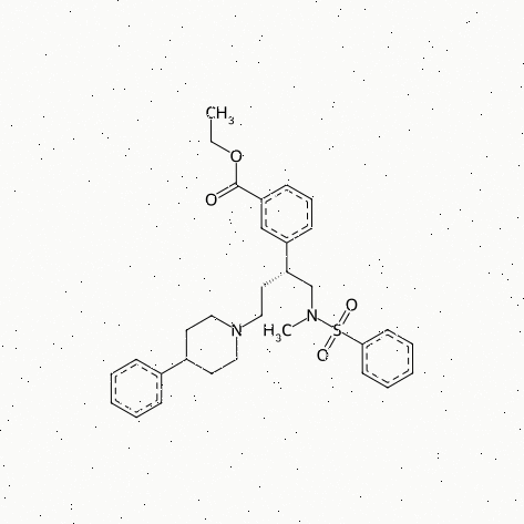 CCOC(=O)c1cccc([C@@H](CCN2CCC(c3ccccc3)CC2)CN(C)S(=O)(=O)c2ccccc2)c1